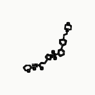 O=C(C=Cc1ccn(S(=O)(=O)c2cccc(-c3ccc(CCN4CCOCC4)cc3)c2)c1)NOC1CCCCO1